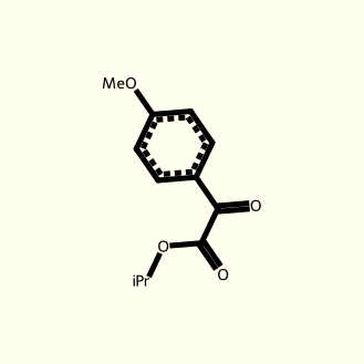 COc1ccc(C(=O)C(=O)OC(C)C)cc1